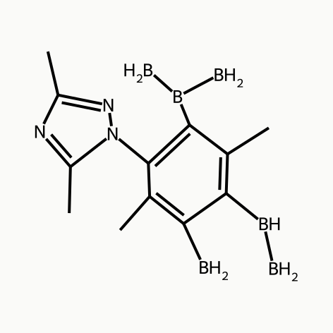 BBc1c(B)c(C)c(-n2nc(C)nc2C)c(B(B)B)c1C